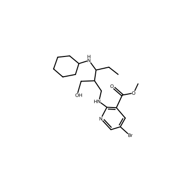 CCC(NC1CCCCC1)C(CO)CNc1ncc(Br)cc1C(=O)OC